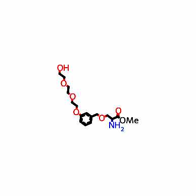 COC(=O)C(N)COCc1cccc(OCCOCCOCCO)c1